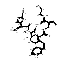 C/C=C(\COC(=O)C1=C(/C=C\c2cccnc2)CS[C@H]2[C@H](NC(=O)C(=NO)c3csc(N)n3)C(=O)N12)C(=O)OCCC(C)C